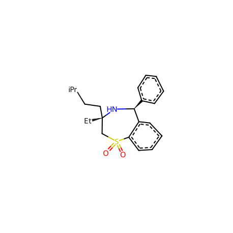 CC[C@]1(CCC(C)C)CS(=O)(=O)c2ccccc2[C@H](c2ccccc2)N1